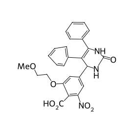 COCCOc1cc(C2NC(=O)NC(c3ccccc3)=C2c2ccccc2)cc([N+](=O)[O-])c1C(=O)O